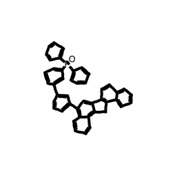 O=P(c1ccccc1)(c1ccccc1)c1cccc(-c2cccc(-c3cc4c(c5ccccc35)Cc3c-4ccc4ccccc34)c2)c1